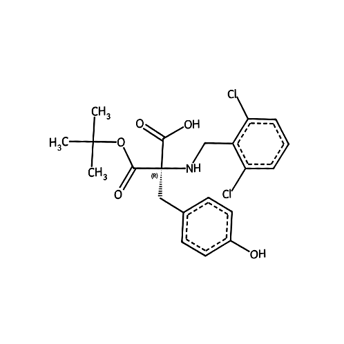 CC(C)(C)OC(=O)[C@](Cc1ccc(O)cc1)(NCc1c(Cl)cccc1Cl)C(=O)O